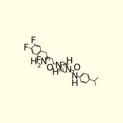 CC(C)c1ccc(NC(=O)N2C[C@@H]3C[C@H]2CN3C(=O)C[C@H](N)Cc2cc(F)c(F)cc2F)cc1